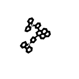 c1cc(-c2cc(-c3ccc(-n4c5ccccc5c5ccccc54)cc3)c3ccc4cccc5ccc2c3c45)cc(-n2c3ccccc3c3ccccc32)c1